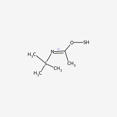 C/C(=N\S(C)(C)C)OS